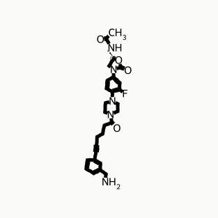 CC(=O)NC[C@H]1CN(c2ccc(N3CCN(C(=O)CCCC#Cc4cccc(CN)c4)CC3)c(F)c2)C(=O)O1